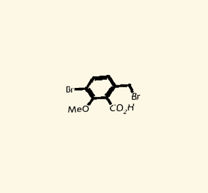 COc1c(Br)ccc(CBr)c1C(=O)O